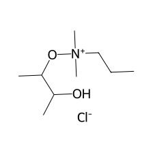 CCC[N+](C)(C)OC(C)C(C)O.[Cl-]